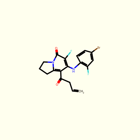 C=CCC(=O)c1c(Nc2ccc(Br)cc2F)c(F)c(=O)n2c1CCC2